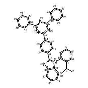 CC(C)c1ccccc1-n1c(-c2ccc(-c3nc(-c4ccccc4)nc(-c4ccccc4)n3)cc2)nc2ccccc21